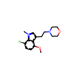 COc1ccc(F)c2c1c(CCN1CCOCC1)cn2C